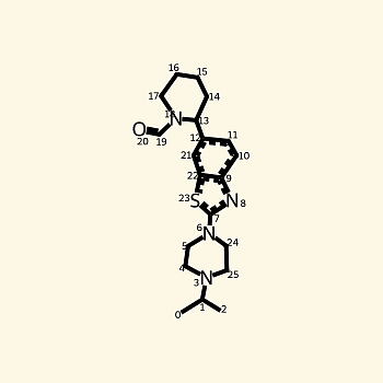 CC(C)N1CCN(c2nc3ccc(C4CCCCN4C=O)cc3s2)CC1